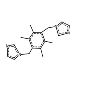 Cc1c(C)c(Cn2ccnc2)c(C)c(C)c1Cn1ccnc1